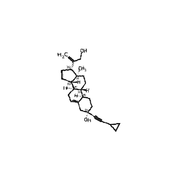 C=C(CO)[C@H]1CC[C@H]2[C@@H]3CC=C4C[C@](O)(C#CC5CC5)CC[C@@H]4[C@H]3CC[C@]12C